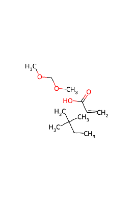 C=CC(=O)O.CCC(C)(C)C.COCOC